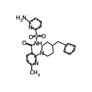 Cc1ccc(C(=O)NS(=O)(=O)c2cccc(N)n2)c(N2CCC(Cc3ccccc3)CC2)n1